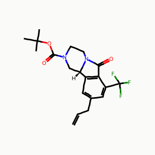 C=CCc1cc2c(c(C(F)(F)F)c1)C(=O)N1CCN(C(=O)OC(C)(C)C)C[C@@H]21